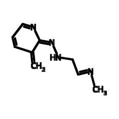 C=C1C=CC=N/C1=N/NC/C=N/C